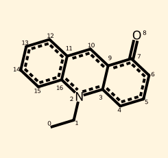 CCn1c2cccc(=O)c-2cc2ccccc21